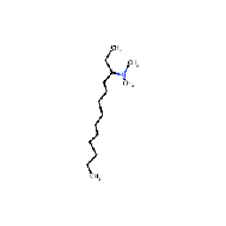 CCCCCCCCCCC(CC)N(C)C